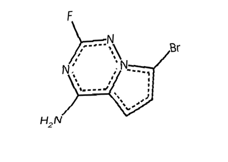 Nc1nc(F)nn2c(Br)ccc12